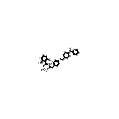 O=C(N[C@@H](Cc1ccc(OCC2CCC(Nc3ccccn3)CC2)cc1)C(=O)O)c1c(Cl)cccc1Cl